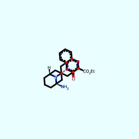 CCOC(=O)c1nc2ccccc2n([C@H]2C[C@H]3CCC[C@@](N)(C2)N3C2CC3CCCC(C3)C2)c1=O